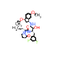 C=CCO[C@@H]1C[C@H](NC[C@@H](O)[C@H](Cc2cc(F)cc(F)c2)NC(=O)[C@@H](CC=C)N2CCCC2=O)c2cc(OC)ccc21